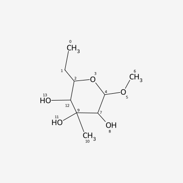 CCC1OC(OC)C(O)C(C)(O)C1O